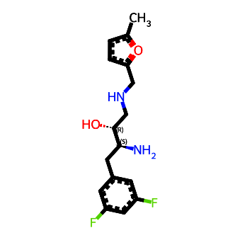 Cc1ccc(CNC[C@@H](O)[C@@H](N)Cc2cc(F)cc(F)c2)o1